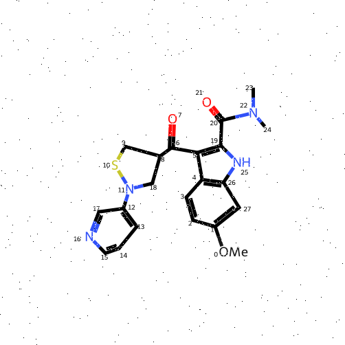 COc1ccc2c(C(=O)C3CSN(c4cccnc4)C3)c(C(=O)N(C)C)[nH]c2c1